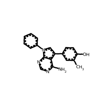 Cc1cc(-c2cn(-c3ccccc3)c3ncnc(N)c23)ccc1O